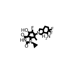 Cc1c(N2CC3CCC(F)(F)C(N)C3C2)c(F)c(O)c2c(=O)[nH]c(=O)n(C3CC3)c12